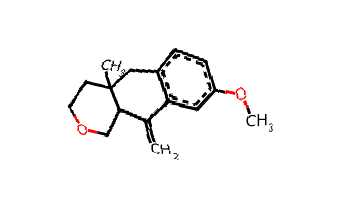 C=C1c2cc(OC)ccc2CC2(C)CCOCC12